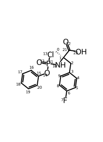 C[C@](Cc1ccc(F)cc1)(NP(=O)(Cl)Oc1ccccc1)C(=O)O